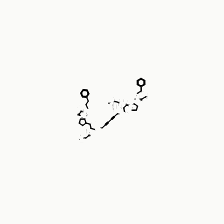 CN[C@@H](C)C(=O)N[C@H](C(=O)C1CCC[C@H]1CN(CCCc1ccccc1)C(=O)C(F)(F)F)[C@@H](C)OCC#CC#CCO[C@H](C)[C@H](NC(=O)[C@H](C)NC)C(=O)N1CCC[C@H]1CN(CCc1ccccc1)C(=O)C(F)(F)F